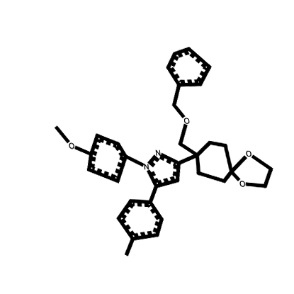 COc1ccc(-n2nc(C3(COCc4ccccc4)CCC4(CC3)OCCO4)cc2-c2ccc(C)cc2)cc1